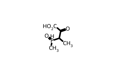 CC(C(=O)C(=O)O)[PH](C)=O